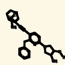 CC(C)OC1CN(c2ccc(C#C[C@@]3(O)CN4CCC3CC4)c(Cc3ccccc3)n2)CC1O